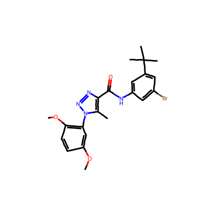 COc1ccc(OC)c(-n2nnc(C(=O)Nc3cc(Br)cc(C(C)(C)C)c3)c2C)c1